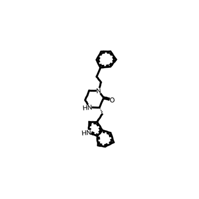 O=C1[C@H](Cc2c[nH]c3ccccc23)NCCN1CCc1ccccc1